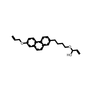 C=CCOc1ccc2c(ccc3cc(CCCCOC(O)C=C)ccc32)c1